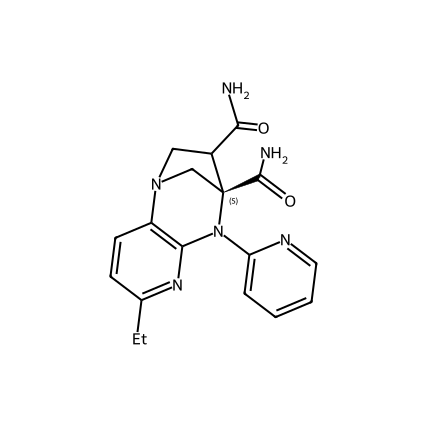 CCc1ccc2c(n1)N(c1ccccn1)[C@]1(C(N)=O)CN2CC1C(N)=O